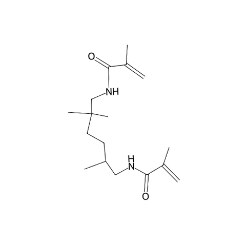 C=C(C)C(=O)NCC(C)CCC(C)(C)CNC(=O)C(=C)C